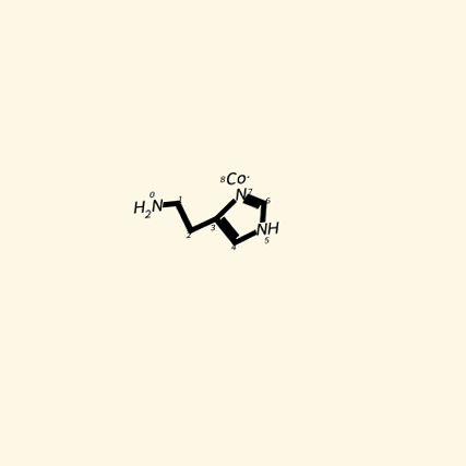 NCCc1c[nH]cn1.[Co]